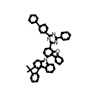 CC1(C)c2ccccc2-c2c1ccc1c2c2ccccc2n1-c1ccc(-c2nc(-c3ccccc3)nc(-c3ccc(-c4ccccc4)cc3)n2)c2oc3ccccc3c12